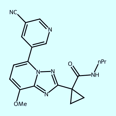 CCCNC(=O)C1(c2nc3c(OC)ccc(-c4cncc(C#N)c4)n3n2)CC1